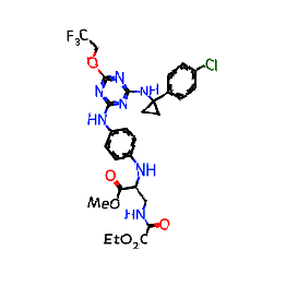 CCOC(=O)C(=O)NC[C@H](Nc1ccc(Nc2nc(NC3(c4ccc(Cl)cc4)CC3)nc(OCC(F)(F)F)n2)cc1)C(=O)OC